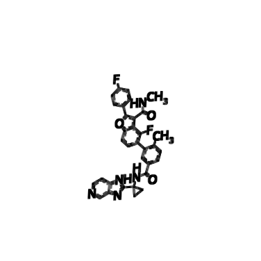 CNC(=O)c1c(-c2ccc(F)cc2)oc2ccc(-c3cc(C(=O)NC4(c5nc6cnccc6[nH]5)CC4)ccc3C)c(F)c12